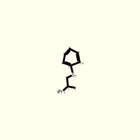 C[C](C)C(C)CSc1ccccc1